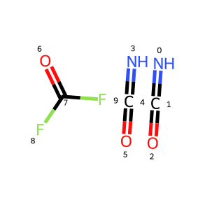 N=C=O.N=C=O.O=C(F)F